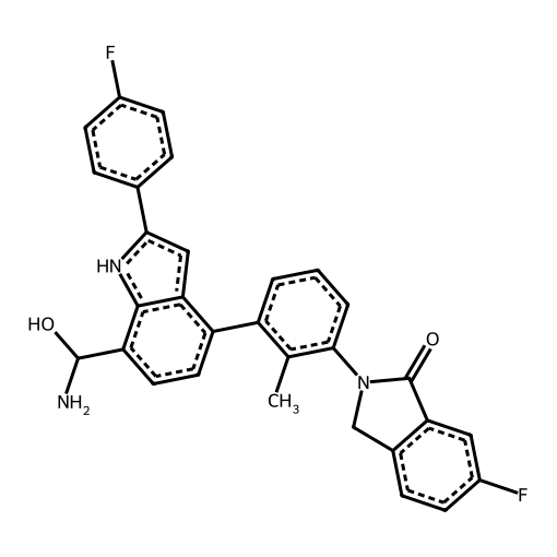 Cc1c(-c2ccc(C(N)O)c3[nH]c(-c4ccc(F)cc4)cc23)cccc1N1Cc2ccc(F)cc2C1=O